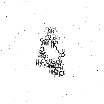 CN[C@H](C(=O)NC(C(=O)N(C)[C@H](/C=C(\C)C(=O)NS(=O)(=O)c1ccc(CNC(=O)[C@H](CCCNC(N)=O)NC(=O)C(NC(=O)CCCCCN2C(=O)C=CC2=O)C(C)C)cc1)C(C)C)C(C)(C)C)C(C)(C)c1ccccc1